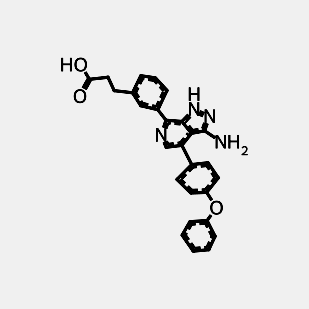 Nc1n[nH]c2c(-c3cccc(CCC(=O)O)c3)ncc(-c3ccc(Oc4ccccc4)cc3)c12